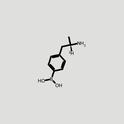 [2H][C@@](C)(N)Cc1ccc(B(O)O)cc1